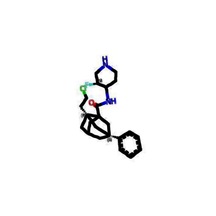 O=C(NC1CCNC[C@@H]1F)C12CC3C[C@](c4ccccc4)(C1)C[C@@]2(CCCl)C3